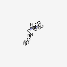 Cc1ccccc1N1C(=O)CS/C1=N\C(=O)N/N=C/c1cccc(-c2ncn(-c3ccc(OC(F)(F)F)cc3)n2)c1